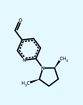 C[C@@H]1CC[C@H](C)N1c1ccc(C=O)cn1